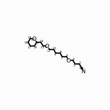 N#CCCCOCCCCCCOCCC1CCCCO1